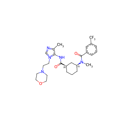 Cc1ncn(CCN2CCOCC2)c1NC(=O)[C@@H]1CCC[C@H](N(C)C(=O)c2cccc(C(F)(F)F)c2)C1